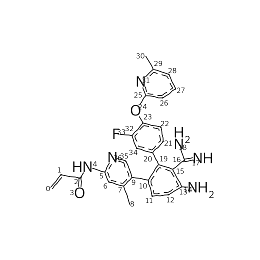 C=CC(=O)Nc1cc(C)c(-c2ccc(N)c(C(=N)N)c2-c2ccc(Oc3cccc(C)n3)c(F)c2)cn1